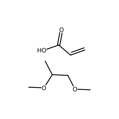 C=CC(=O)O.COCC(C)OC